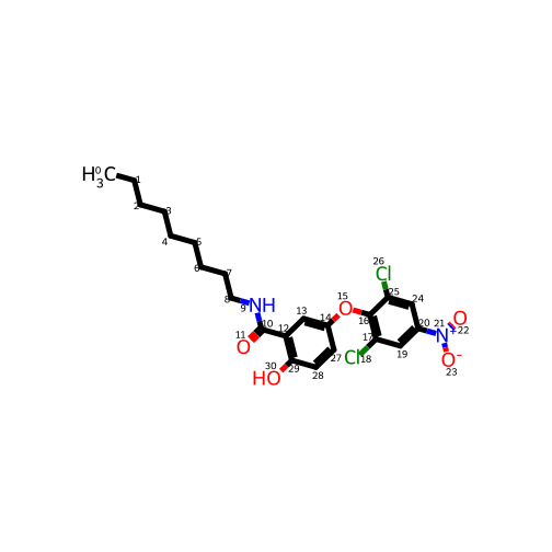 CCCCCCCCCNC(=O)c1cc(Oc2c(Cl)cc([N+](=O)[O-])cc2Cl)ccc1O